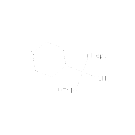 CCCCCCCC(C)(CCCCCCC)C1CCNCC1